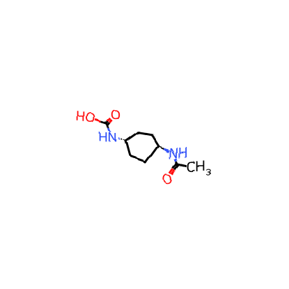 CC(=O)N[C@H]1CC[C@H](NC(=O)O)CC1